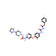 O=C(Cc1ccc(F)cc1)NC(=O)Nc1ccc(Oc2ccnc(NC(=O)ON3CCC(N4CCCC4)CC3)c2)c(F)c1